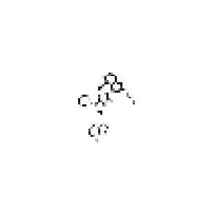 C#Cc1c(F)ccc2cc(OCOC)cc(-c3ncc4c(N5CCCCC5)nc(OC[C@]56CCC[C@H]5N(C)CCC6)nc4c3F)c12